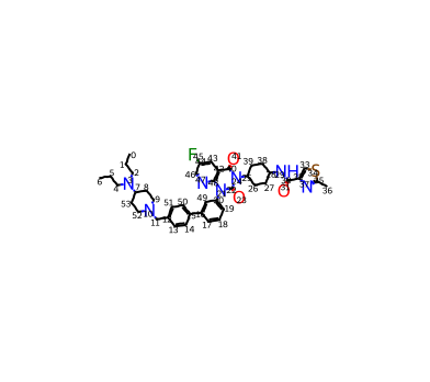 CCCN(CCC)C1CCN(Cc2ccc(-c3cccc(-n4c(=O)n(C5CCC(NC(=O)c6csc(C)n6)CC5)c(=O)c5cc(F)cnc54)c3)cc2)CC1